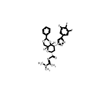 C/C(=N\C(=O)[C@H]1C[C@@H](n2cc(-c3cc(F)c(F)c(F)c3)nn2)[C@H]2OC(c3ccccc3)OC[C@H]2O1)N(C)C